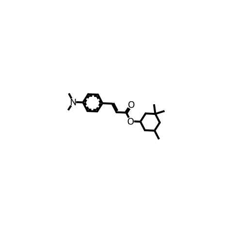 CC1CC(OC(=O)C=Cc2ccc(N(C)C)cc2)CC(C)(C)C1